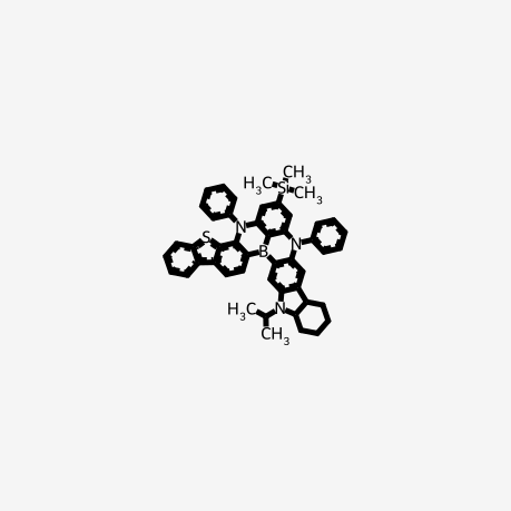 CC(C)N1c2cc3c(cc2C2CCCCC21)N(c1ccccc1)c1cc([Si](C)(C)C)cc2c1B3c1ccc3c(sc4ccccc43)c1N2c1ccccc1